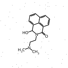 CN(C)CCN1C(=O)c2cccc3cccc(c23)C1O